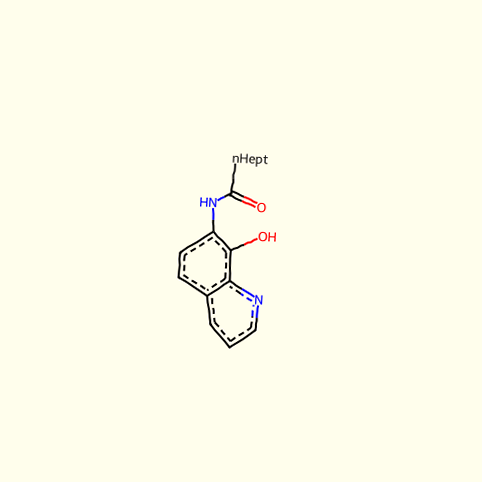 CCCCCCCC(=O)Nc1ccc2cccnc2c1O